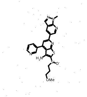 COCCC[S+]([O-])c1sc2nc(-c3cnc4c(cnn4C)c3)cc(-c3cccnc3)c2c1N